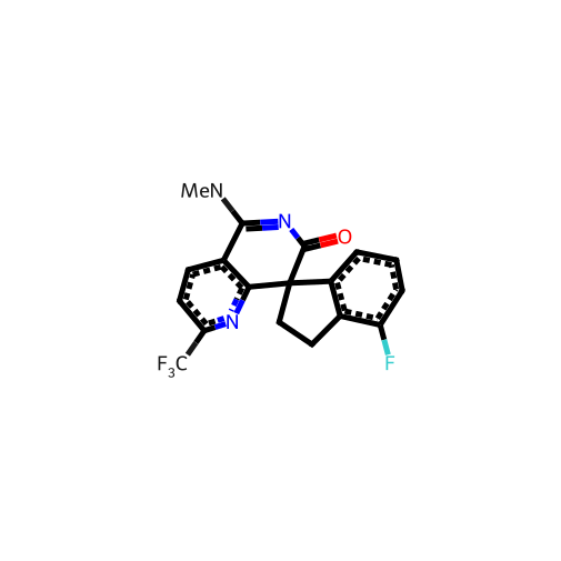 CNC1=NC(=O)C2(CCc3c(F)cccc32)c2nc(C(F)(F)F)ccc21